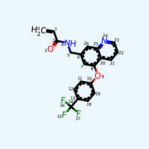 C=CC(=O)NCc1cc(Oc2ccc(C(F)(F)F)cc2)c2cccnc2c1